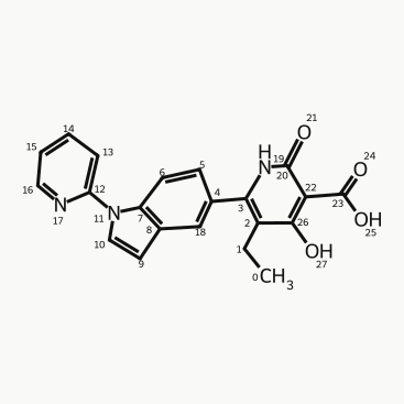 CCc1c(-c2ccc3c(ccn3-c3ccccn3)c2)[nH]c(=O)c(C(=O)O)c1O